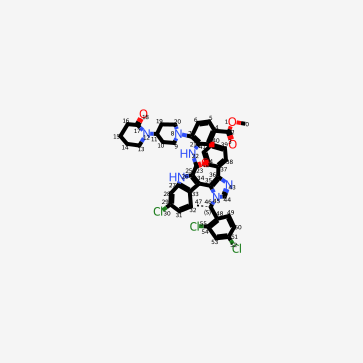 COC(=O)c1ccc(N2CCC(N3CCCCC3=O)CC2)c(NC(=O)c2[nH]c3cc(Cl)ccc3c2-c2c(-c3ccccc3)ncn2[C@@H](C)c2ccc(Cl)cc2Cl)c1